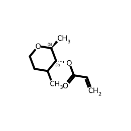 C=CC(=O)O[C@@H]1C(C)CCO[C@H]1C